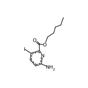 CCCCCOC(=O)c1nc(N)ccc1I